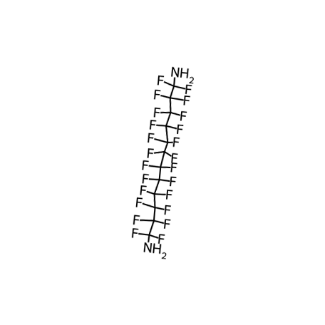 NC(F)(F)C(F)(F)C(F)(F)C(F)(F)C(F)(F)C(F)(F)C(F)(F)C(F)(F)C(F)(F)C(F)(F)C(F)(F)C(N)(F)F